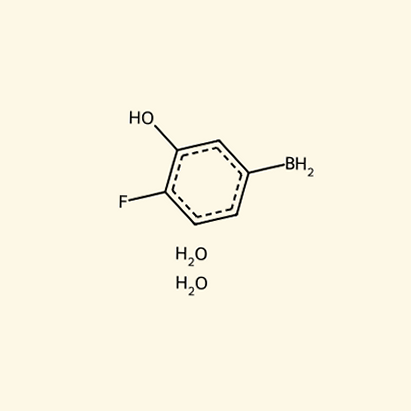 Bc1ccc(F)c(O)c1.O.O